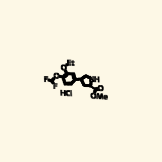 CCOc1cc(C2CN[C@@H](C(=O)OC)C2)ccc1OC(F)F.Cl